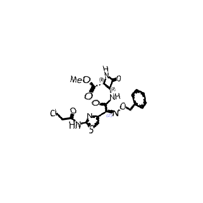 COC(=O)[C@@H]1NC(=O)[C@@H]1NC(=O)/C(=N\OCc1ccccc1)c1csc(NC(=O)CCl)n1